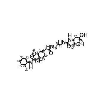 COc1cc(CC(=O)NCCCNC(=O)NC(CC(=O)O)C(=O)O)ccc1NC(=O)Nc1ccccc1C